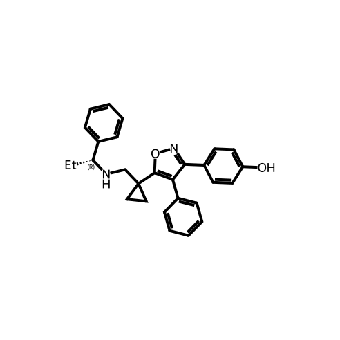 CC[C@@H](NCC1(c2onc(-c3ccc(O)cc3)c2-c2ccccc2)CC1)c1ccccc1